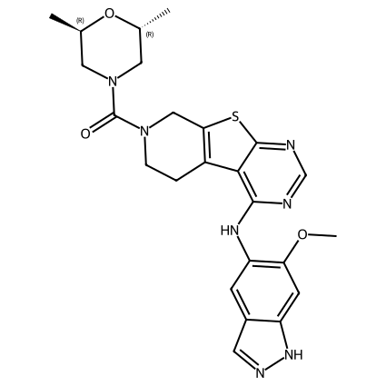 COc1cc2[nH]ncc2cc1Nc1ncnc2sc3c(c12)CCN(C(=O)N1C[C@@H](C)O[C@H](C)C1)C3